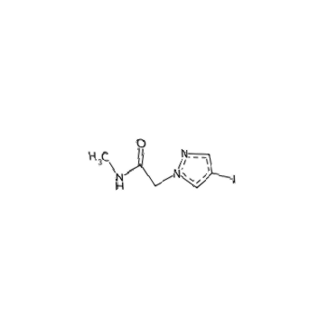 CNC(=O)Cn1cc(I)cn1